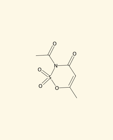 CC(=O)N1C(=O)C=C(C)OS1(=O)=O